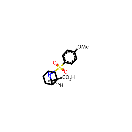 COc1ccc(S(=O)(=O)N2C3CCC(CC3)[C@@H]2C(=O)O)cc1